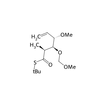 C=C[C@H](OC)[C@@H](OCOC)[C@H](C)C(=O)SC(C)(C)C